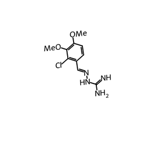 COc1ccc(/C=N/NC(=N)N)c(Cl)c1OC